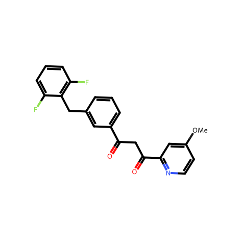 COc1ccnc(C(=O)CC(=O)c2cccc(Cc3c(F)cccc3F)c2)c1